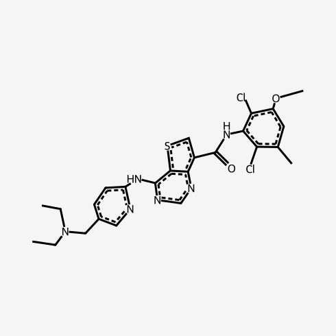 CCN(CC)Cc1ccc(Nc2ncnc3c(C(=O)Nc4c(Cl)c(C)cc(OC)c4Cl)csc23)nc1